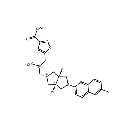 CNC(=O)c1cc(CN(C[C@@H]2C[C@@H]3CN(c4ccc5cc(F)ccc5n4)C[C@@H]3C2)C(=O)O)on1